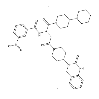 O=C(N[C@@H](CC(=O)N1CCC(N2Cc3ccccc3NC2=O)CC1)C(=O)N1CCC(N2CCCCC2)CC1)c1cccc([N+](=O)[O-])c1